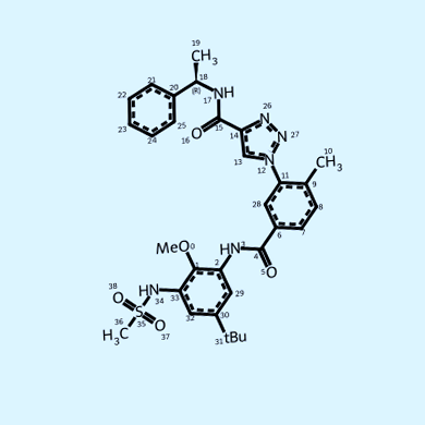 COc1c(NC(=O)c2ccc(C)c(-n3cc(C(=O)N[C@H](C)c4ccccc4)nn3)c2)cc(C(C)(C)C)cc1NS(C)(=O)=O